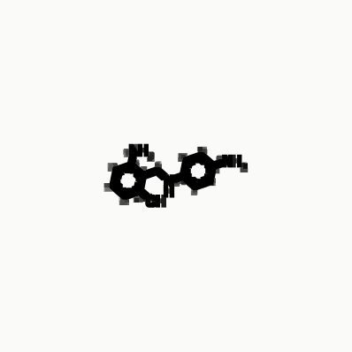 Nc1ccc(NCc2c(N)cccc2O)cc1